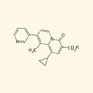 Cc1c(-c2cccnc2)ccn2c(=O)c(C(=O)O)cc(C3CC3)c12